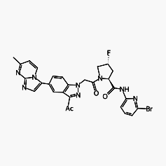 CC(=O)c1nn(CC(=O)N2C[C@H](F)C[C@H]2C(=O)Nc2cccc(Br)n2)c2ccc(-c3cnc4nc(C)ccn34)cc12